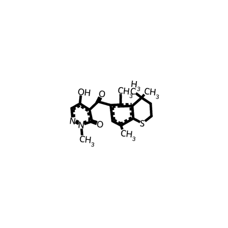 Cc1cc(C(=O)c2c(O)cnn(C)c2=O)c(C)c2c1SCCC2(C)C